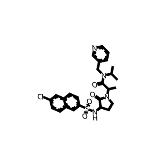 CC(C)N(Cc1cccnc1)C(=O)C(C)N1CCC(NS(=O)(=O)c2ccc3cc(Cl)ccc3c2)C1=O